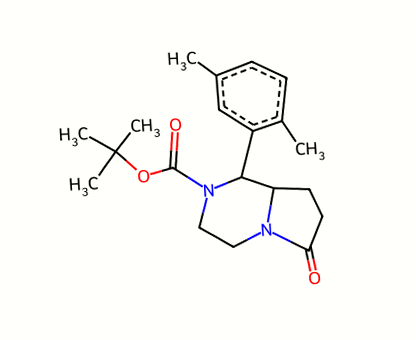 Cc1ccc(C)c(C2C3CCC(=O)N3CCN2C(=O)OC(C)(C)C)c1